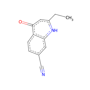 CCc1cc(=O)c2ccc(C#N)cc2[nH]1